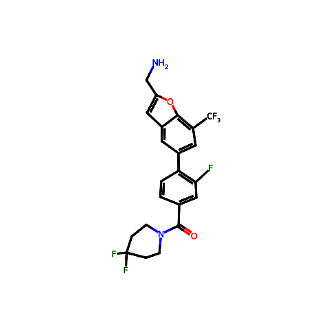 NCc1cc2cc(-c3ccc(C(=O)N4CCC(F)(F)CC4)cc3F)cc(C(F)(F)F)c2o1